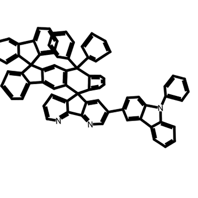 c1ccc(-n2c3ccccc3c3cc(-c4cnc5c(c4)C4(c6ccccc6C(c6ccccc6)(c6ccccc6)c6cc7c(cc64)-c4ccccc4C74c6ccccc6-c6ccccc64)c4cccnc4-5)ccc32)cc1